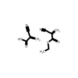 C=C(C#N)C(=O)O.C=C(C#N)C(=O)OCC